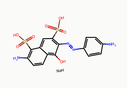 Nc1ccc(N=Nc2c(S(=O)(=O)O)cc3c(S(=O)(=O)O)c(N)ccc3c2O)cc1.[NaH]